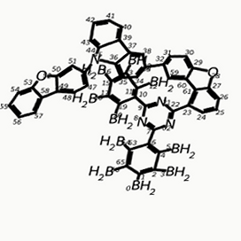 Bc1c(B)c(B)c(-c2nc(-c3c(B)c(B)c(B)c(B)c3B)nc(-c3cccc4oc5ccc(-c6ccc7c(c6)c6ccccc6n7-c6ccc7c(c6)oc6ccccc67)cc5c34)n2)c(B)c1B